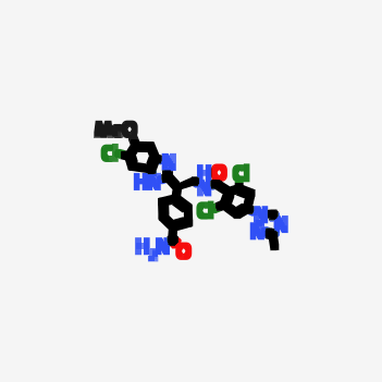 COc1cc2nc([C@@H](CNC(=O)c3c(Cl)cc(-n4cnc(C)n4)cc3Cl)c3ccc(C(N)=O)cc3)[nH]c2cc1Cl